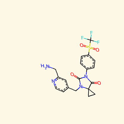 NCc1cc(CN2C(=O)N(c3ccc(S(=O)(=O)C(F)(F)F)cc3)C(=O)C23CC3)ccn1